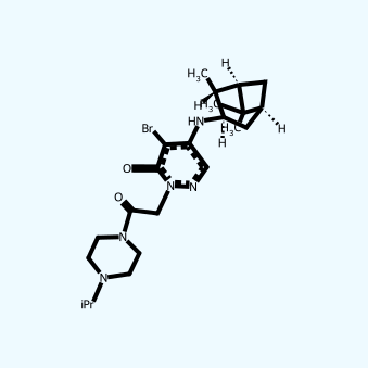 CC(C)N1CCN(C(=O)Cn2ncc(N[C@@H]3C[C@@H]4C[C@H]([C@H]3C)C4(C)C)c(Br)c2=O)CC1